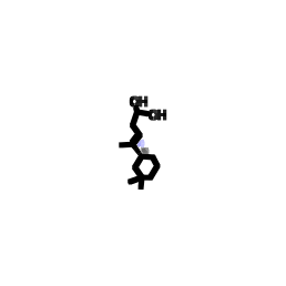 C/C(=C\CC(O)O)[C@H]1CCCC(C)(C)C1